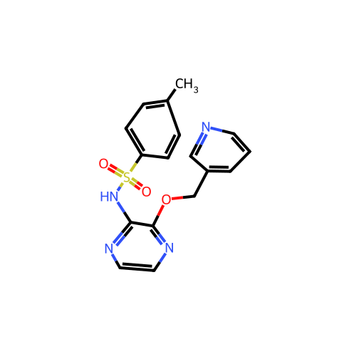 Cc1ccc(S(=O)(=O)Nc2nccnc2OCc2cccnc2)cc1